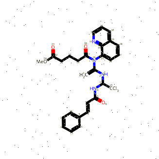 C=C(NC(NC(=O)/C=C/c1ccccc1)C(Cl)(Cl)Cl)N(C(=O)CCCC(=O)OC)c1cccc2cccnc12